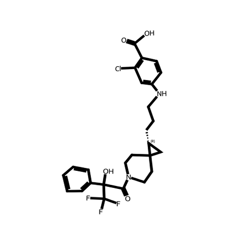 O=C(O)c1ccc(NCCC[C@@H]2CC23CCN(C(=O)C(O)(c2ccccc2)C(F)(F)F)CC3)cc1Cl